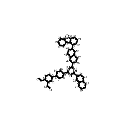 C=Cc1ccc(-c2ccc(-c3nc(-c4ccc5ccccc5c4)nc(-c4ccc5cc(-c6cccc7oc8ccccc8c67)ccc5c4)n3)cc2)cc1C=C